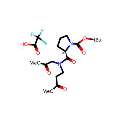 COC(=O)CCN(CC(=O)OC)C(=O)[C@H]1CCCN1C(=O)OC(C)(C)C.O=C(O)C(F)(F)F